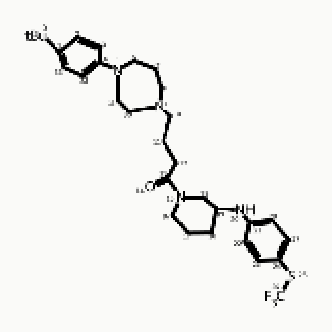 CC(C)(C)c1ccc(N2CCCN(CCCC(=O)N3CCC[C@H](Nc4ccc(SC(F)(F)F)cc4)C3)CC2)cc1